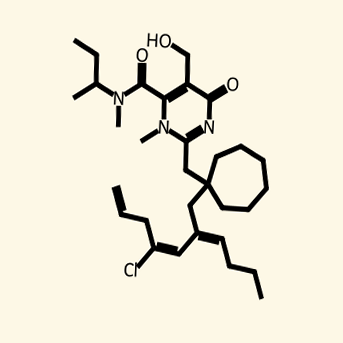 C=CC/C(Cl)=C\C(=CCCC)CC1(Cc2nc(=O)c(CO)c(C(=O)N(C)C(C)CC)n2C)CCCCCC1